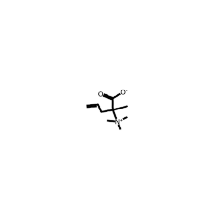 C=CCC(C)(C(=O)[O-])[N+](C)(C)C